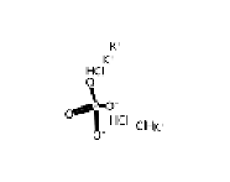 Cl.Cl.Cl.O=P([O-])([O-])[O-].[K+].[K+].[K+]